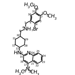 COc1cc(Br)c(CNCC2CCC(Nc3cc(N(C)C)c4ccccc4n3)CC2)cc1OC